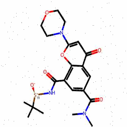 CN(C)C(=O)c1cc(C(=O)N[S@+]([O-])C(C)(C)C)c2oc(N3CCOCC3)cc(=O)c2c1